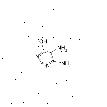 Nc1n[c]nc(O)c1N